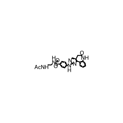 CC(=O)NCCNS(=O)(=O)c1ccc(Nc2ncc3c(n2)-c2ccccc2NC(=O)C3)cc1